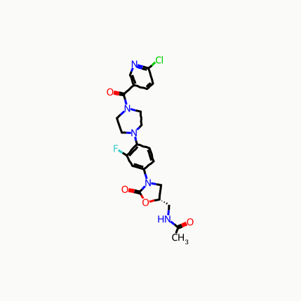 CC(=O)NC[C@H]1CN(c2ccc(N3CCN(C(=O)c4ccc(Cl)nc4)CC3)c(F)c2)C(=O)O1